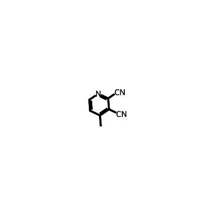 Cc1ccnc(C#N)c1C#N